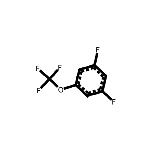 Fc1[c]c(OC(F)(F)F)cc(F)c1